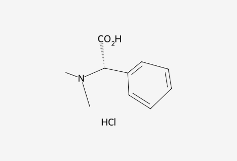 CN(C)[C@H](C(=O)O)c1ccccc1.Cl